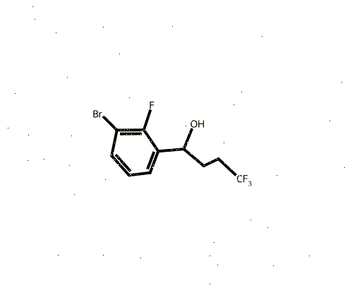 OC(CCC(F)(F)F)c1cccc(Br)c1F